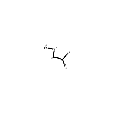 C[CH]SCC(F)F